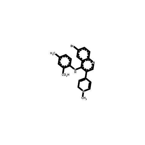 Cc1ccc(Nc2c(C3=CCN(C)C=C3)cnc3ccc(Br)cc23)c(C(=O)O)c1